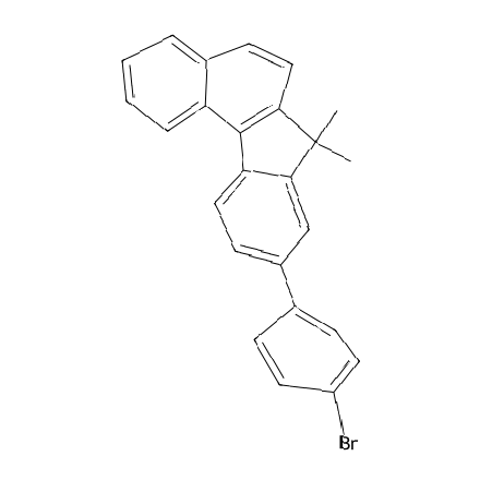 CC1(C)c2cc(-c3ccc(Br)cc3)ccc2-c2c1ccc1ccccc21